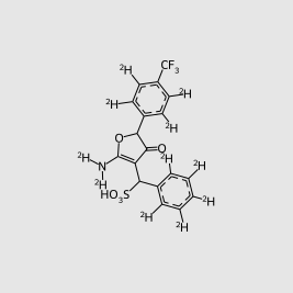 [2H]c1c([2H])c([2H])c(C(C2=C(N([2H])[2H])OC(c3c([2H])c([2H])c(C(F)(F)F)c([2H])c3[2H])C2=O)S(=O)(=O)O)c([2H])c1[2H]